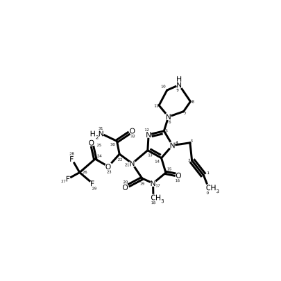 CC#CCn1c(N2CCNCC2)nc2c1c(=O)n(C)c(=O)n2C(OC(=O)C(F)(F)F)C(N)=O